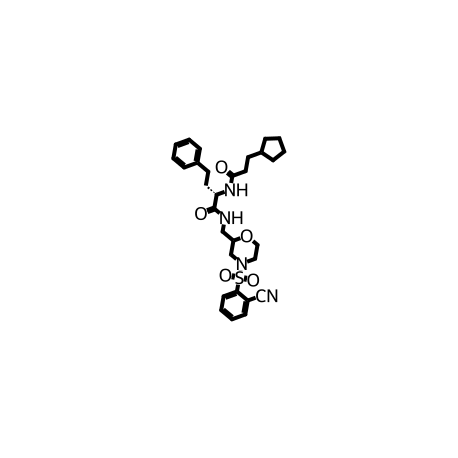 N#Cc1ccccc1S(=O)(=O)N1CCOC(CNC(=O)[C@H](CCc2ccccc2)NC(=O)CCC2CCCC2)C1